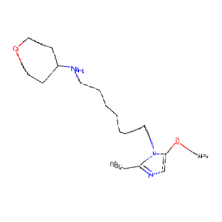 CCCCc1ncc(OC(C)C)n1CCCCCCNC1CCOCC1